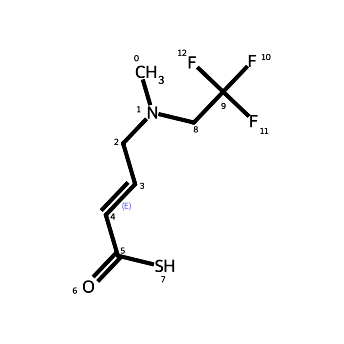 CN(C/C=C/C(=O)S)CC(F)(F)F